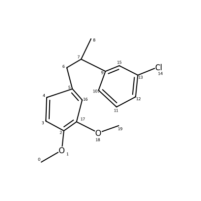 COc1ccc(CC(C)c2[c]ccc(Cl)c2)cc1OC